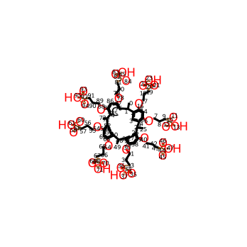 CC1c2cc(c(OCCCS(=O)(=O)O)cc2OCCCS(=O)(=O)O)C(C)c2cc(c(OCCCS(=O)(=O)O)cc2OCCCS(=O)(=O)O)C(C)c2cc(c(OCCCS(=O)(=O)O)cc2OCCCS(=O)(=O)O)C(C)c2cc1c(OCCCS(=O)(=O)O)cc2OCCCS(=O)(=O)O